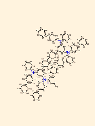 C=C/C=C(\C=C)N(c1ccc(-c2ccccc2)cc1)c1cc(-c2ccc3c(c2)C2(c4ccccc4-c4ccccc42)c2cc(-c4cc(N(c5ccccc5)c5ccc(-c6ccccc6)cc5)cc(N(c5ccccc5)c5ccc(-c6ccccc6)cc5)c4)ccc2-3)cc(N(c2ccccc2)c2ccc(-c3ccccc3)cc2)c1